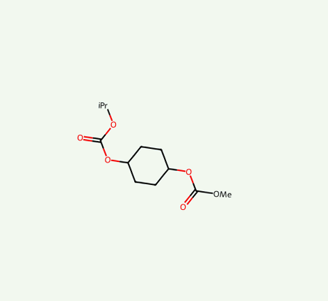 COC(=O)OC1CCC(OC(=O)OC(C)C)CC1